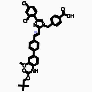 COc1cc(-c2ccc(/C=C/c3nc(-c4ccc(Cl)cc4Cl)cn3Cc3ccc(C(=O)O)cc3)cc2)ccc1NC(=O)OCC(C)(C)C